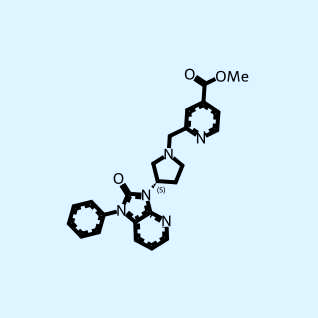 COC(=O)c1ccnc(CN2CC[C@H](n3c(=O)n(-c4ccccc4)c4cccnc43)C2)c1